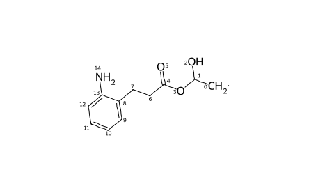 [CH2]C(O)OC(=O)CCc1ccccc1N